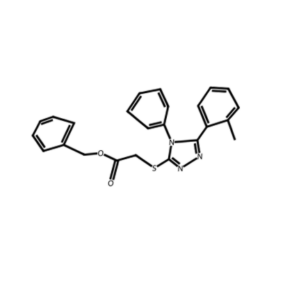 Cc1ccccc1-c1nnc(SCC(=O)OCc2ccccc2)n1-c1ccccc1